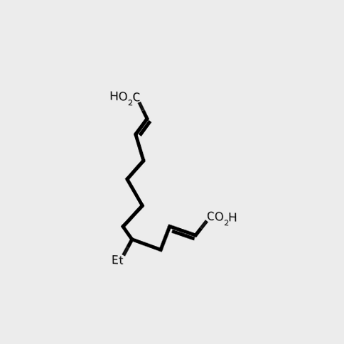 CCC(CC=CC(=O)O)CCCCC=CC(=O)O